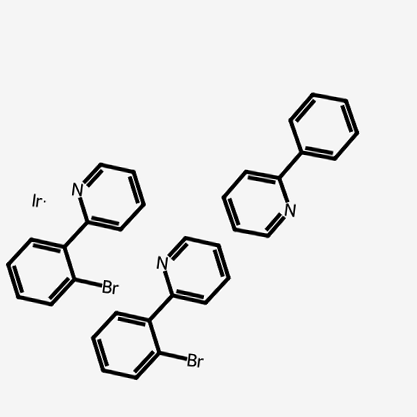 Brc1ccccc1-c1ccccn1.Brc1ccccc1-c1ccccn1.[Ir].c1ccc(-c2ccccn2)cc1